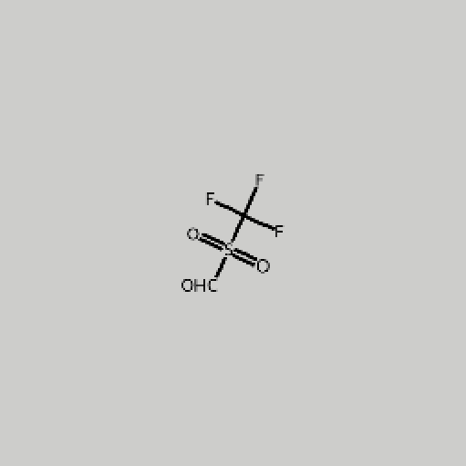 O=CS(=O)(=O)C(F)(F)F